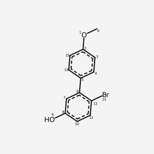 COc1ccc(-c2cc(O)ccc2Br)cc1